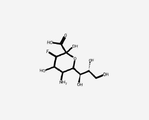 NC1C(O)C(F)C(O)(C(=O)O)OC1[C@H](O)[C@H](O)CO